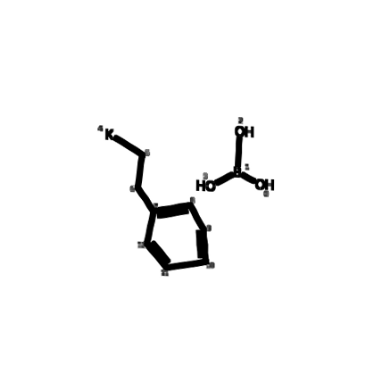 OB(O)O.[K][CH2]Cc1ccccc1